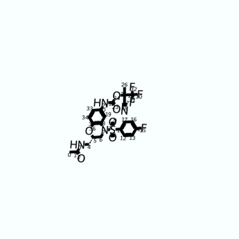 CC(=O)NC[C@H]1CN(S(=O)(=O)c2ccc(F)cc2)c2cc(NC(=O)OC(C)(C#N)C(F)(F)F)ccc2O1